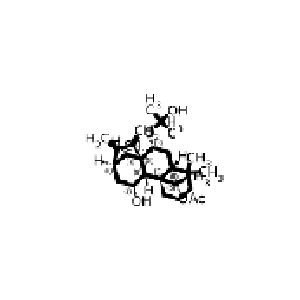 C=C1C(=C)[C@]23[C@H](C)[C@H]1C[C@H](O)[C@H]2[C@]1([C@H](C)OC(C)=O)CCCC(C)(C)[C@H]1C[C@H]3OC(C)(C)O